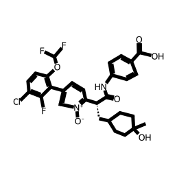 CC1(O)CCC(C[C@@H](C(=O)Nc2ccc(C(=O)O)cc2)c2ccc(-c3c(OC(F)F)ccc(Cl)c3F)c[n+]2[O-])CC1